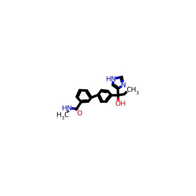 CCC(O)(c1ccc(-c2cccc(C(=O)NC)c2)cc1)c1c[nH]cn1